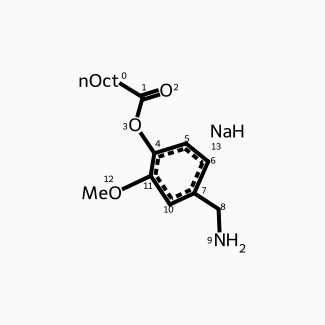 CCCCCCCCC(=O)Oc1ccc(CN)cc1OC.[NaH]